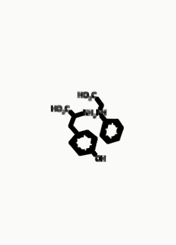 NC(Cc1ccc(O)cc1)C(=O)O.O=C(O)CNc1ccccc1